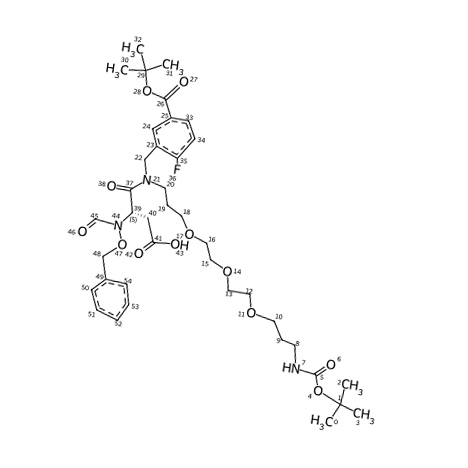 CC(C)(C)OC(=O)NCCCOCCOCCOCCCN(Cc1cc(C(=O)OC(C)(C)C)ccc1F)C(=O)[C@H](CC(=O)O)N(C=O)OCc1ccccc1